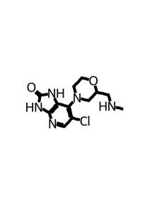 CNCC1CN(c2c(Cl)cnc3[nH]c(=O)[nH]c23)CCO1